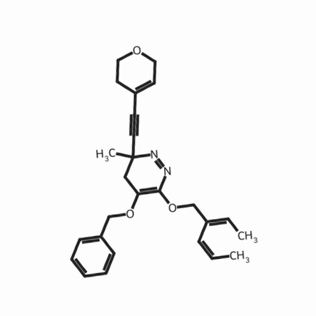 C/C=C\C(=C/C)COC1=C(OCc2ccccc2)CC(C)(C#CC2=CCOCC2)N=N1